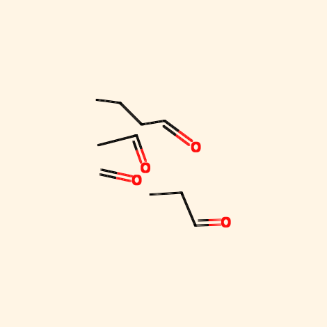 C=O.CC=O.CCC=O.CCCC=O